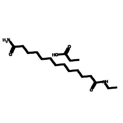 CCC(=O)O.CCNC(=O)CCCCCCCCCCCC(N)=O